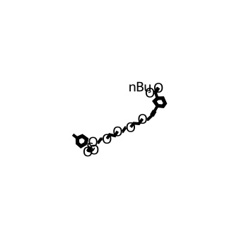 CCCCOC(=O)c1cccc(C#CCOCCOCCOCCOCCOS(=O)(=O)c2ccc(C)cc2)c1